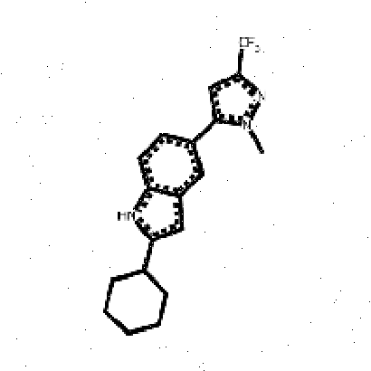 Cn1nc(C(F)(F)F)cc1-c1ccc2[nH]c(C3CCCCC3)cc2c1